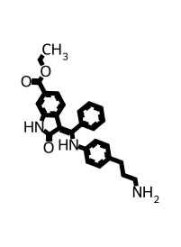 CCOC(=O)c1ccc2c(c1)NC(=O)/C2=C(\Nc1ccc(CCCN)cc1)c1ccccc1